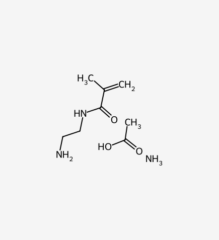 C=C(C)C(=O)NCCN.CC(=O)O.N